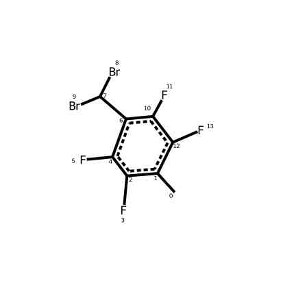 Cc1c(F)c(F)c(C(Br)Br)c(F)c1F